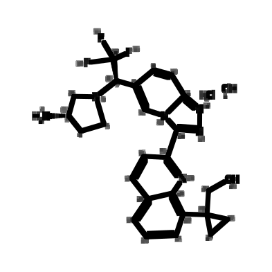 Cl.Cl.N[C@H]1CCN([C@H](c2ccc3nnc(-c4ccc5cccc(C6(CO)CC6)c5n4)n3c2)C(F)(F)F)C1